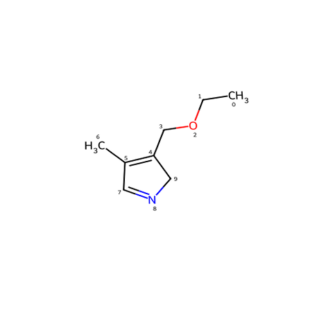 CCOCC1=C(C)C=NC1